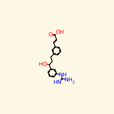 N=C(N)Nc1cccc(C(O)CCc2cccc(C=CC(=O)O)c2)c1